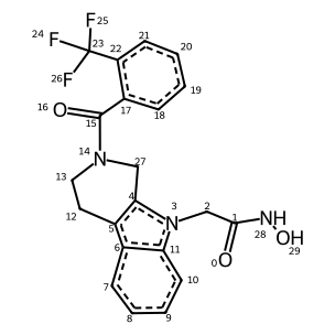 O=C(Cn1c2c(c3ccccc31)CCN(C(=O)c1ccccc1C(F)(F)F)C2)NO